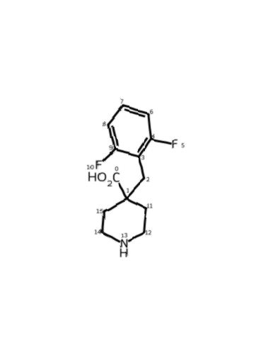 O=C(O)C1(Cc2c(F)cccc2F)CCNCC1